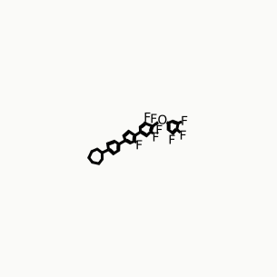 Fc1cc(-c2ccc(C3CCCCCC3)cc2)ccc1-c1cc(F)c(C(F)(F)Oc2cc(F)c(F)c(F)c2)c(F)c1